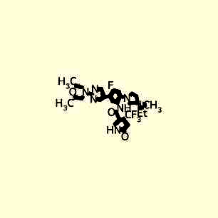 CCN(C)[C@@H]1CCN(c2cc(F)c(-c3cnc(N4C[C@@H](C)O[C@@H](C)C4)nc3)cc2NC(=O)c2c[nH]c(=O)cc2C(F)(F)F)C1